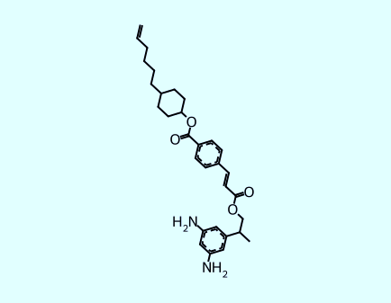 C=CCCCCC1CCC(OC(=O)c2ccc(/C=C/C(=O)OCC(C)c3cc(N)cc(N)c3)cc2)CC1